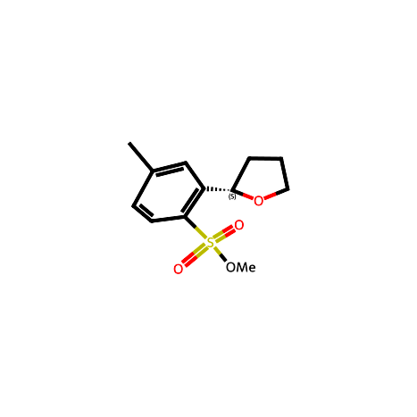 COS(=O)(=O)c1ccc(C)cc1[C@@H]1CCCO1